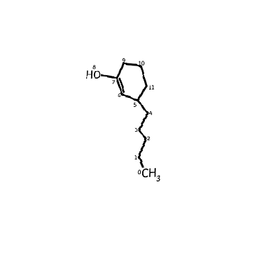 CCCCCC1C=C(O)CCC1